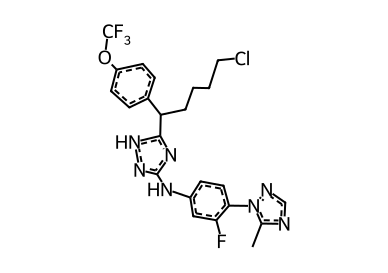 Cc1ncnn1-c1ccc(Nc2n[nH]c(C(CCCCCl)c3ccc(OC(F)(F)F)cc3)n2)cc1F